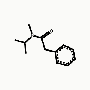 CC(C)N(C)C(=O)Cc1ccccc1